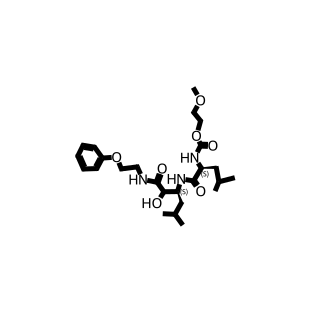 COCCOC(=O)N[C@@H](CC(C)C)C(=O)N[C@@H](CC(C)C)C(O)C(=O)NCCOc1ccccc1